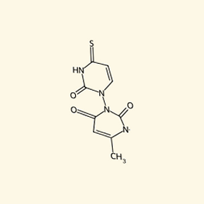 CC1=CC(=O)N(n2ccc(=S)[nH]c2=O)C(=O)[N]1